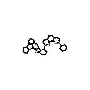 C1=C(c2ccc3ccc4ccc(-c5ccccc5)nc4c3n2)c2c(oc3c4c5c(cccc5cc23)-c2ccccc2-4)CC1